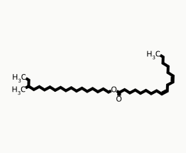 CCCCC/C=C\C/C=C\CCCCCCCC(=O)OCCCCCCCCCCCCCCCC(C)CC